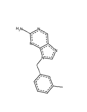 Cc1cccc(Cn2cnc3cnc(N)nc32)c1